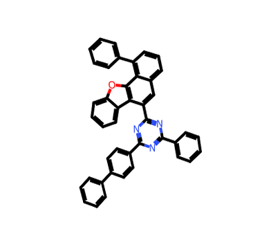 c1ccc(-c2ccc(-c3nc(-c4ccccc4)nc(-c4cc5cccc(-c6ccccc6)c5c5oc6ccccc6c45)n3)cc2)cc1